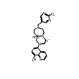 C[C@@H]1CN(c2ccc(C#N)c3ncccc23)C[C@@H]2CCN(Cc3cnc(Cl)nc3)CCN21